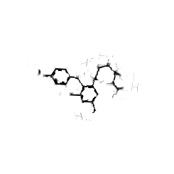 COc1ccc(Cc2c(Cl)cc(CO)cc2[C@@]2(O)O[C@H]([C@H](C)O)[C@@](C)(O)[C@H](O)[C@H]2O)cc1